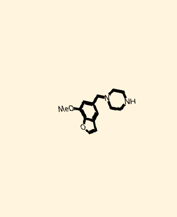 COc1cc(CN2CCNCC2)cc2ccoc12